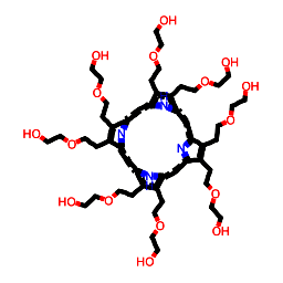 OCCOCCC1=C(CCOCCO)c2cc3[nH]c(cc4nc(cc5[nH]c(cc1n2)c(CCOCCO)c5CCOCCO)C(CCOCCO)=C4CCOCCO)c(CCOCCO)c3CCOCCO